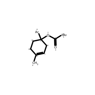 CC(=O)C1(OC(=O)C(C)(C)C)CC=C(C)CC1